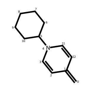 C=C1C=CN(C2CCCCC2)C=C1